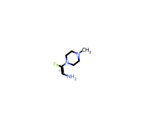 CN1CCN(/C(F)=C\N)CC1